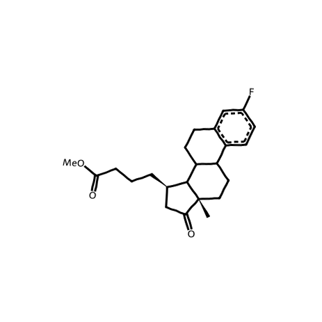 COC(=O)CCC[C@@H]1CC(=O)[C@@]2(C)CCC3c4ccc(F)cc4CCC3C12